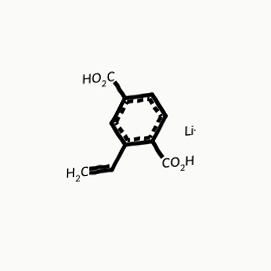 C=Cc1cc(C(=O)O)ccc1C(=O)O.[Li]